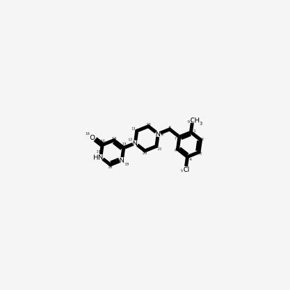 Cc1ccc(Cl)cc1CN1CCN(c2cc(=O)[nH]cn2)CC1